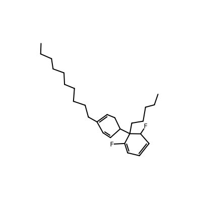 CCCCCCCCCCC1=CCC(C2(CCCCC)C(F)=CC=CC2F)C=C1